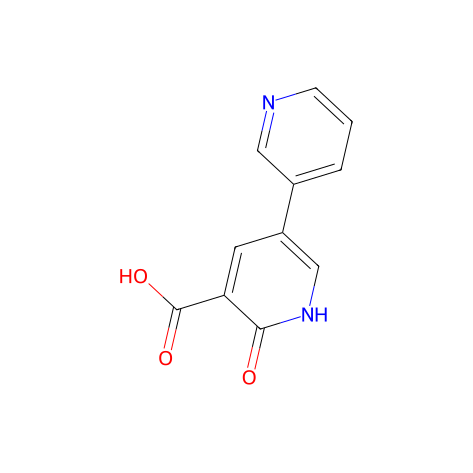 O=C(O)c1cc(-c2cccnc2)c[nH]c1=O